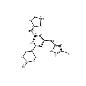 CCN1CCN(c2cc(Nc3cc(C)[nH]n3)nc(N[C@H]3CCNC3)n2)CC1